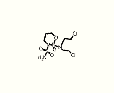 NS(=O)(=O)N1CCCOP1(=O)N(CCCl)CCCl